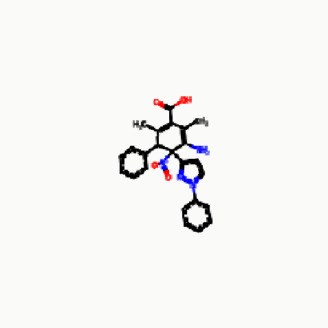 CC1=C(N)C(c2ccn(-c3ccccc3)n2)([N+](=O)[O-])C(c2ccccc2)C(C)=C1C(=O)O